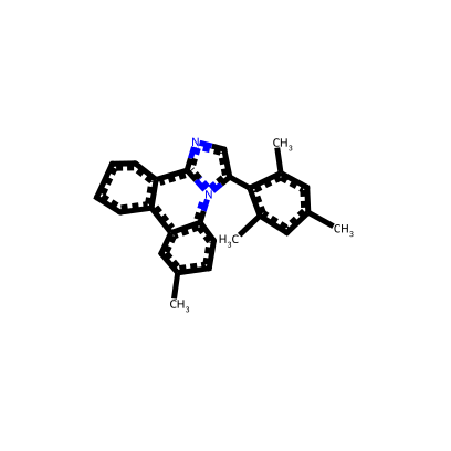 Cc1cc(C)c(-c2cnc3c4ccccc4c4cc(C)ccc4n23)c(C)c1